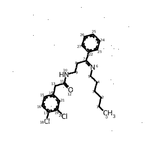 CCCCCCN=C(CCNC(=O)Cc1ccc(Cl)c(Cl)c1)c1ccccc1